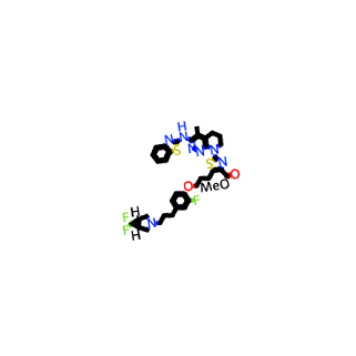 COC(=O)c1nc(N2CCCc3c2nnc(Nc2nc4ccccc4s2)c3C)sc1CCCOc1ccc(CCCN2C[C@@H]3[C@H](C2)C3(F)F)cc1F